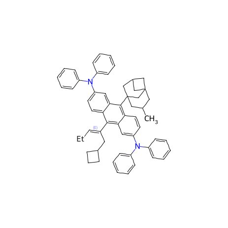 CC/C=C(\CC1CCC1)c1c2cc(N(c3ccccc3)c3ccccc3)ccc2c(C23CC(C)CC4(CC(C4)C2)C3)c2cc(N(c3ccccc3)c3ccccc3)ccc12